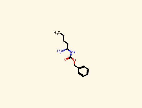 CCCCC(N)NC(=O)OCc1ccccc1